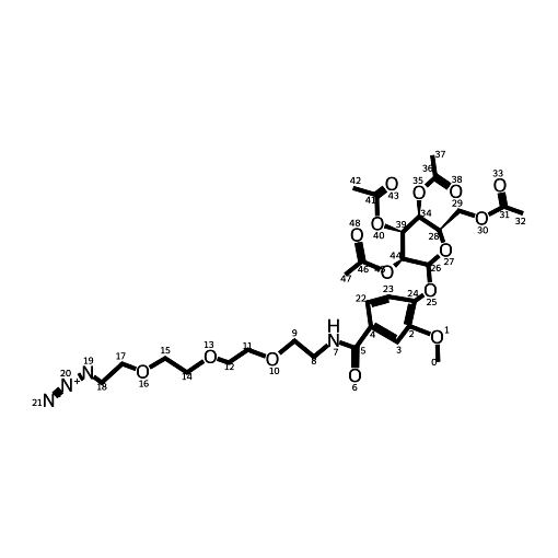 COc1cc(C(=O)NCCOCCOCCOCCN=[N+]=[N-])ccc1OC1O[C@H](COC(C)=O)[C@H](OC(C)=O)[C@H](OC(C)=O)[C@@H]1OC(C)=O